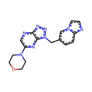 c1cn2cc(Cn3nnc4ncc(N5CCOCC5)nc43)ccc2n1